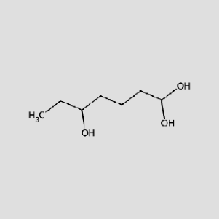 CCC(O)CCCC(O)O